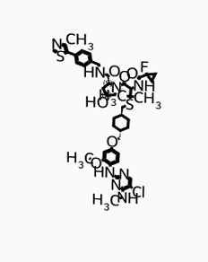 CNc1nc(Nc2ccc(OC[C@H]3CC[C@H](CSC(C)(C)C(NC(=O)C4(F)CC4)C(=O)N4C[C@H](O)C[C@H]4C(=O)NCc4ccc(-c5scnc5C)cc4)CC3)cc2OC)ncc1Cl